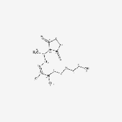 CC(O/N=[N+](/[O-])N(C)CCCCCO)N1C(=O)CCC1=O